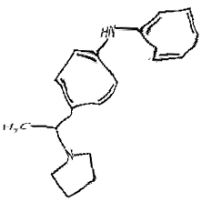 CC(c1ccc(Nc2[c]cccc2)cc1)N1CCCC1